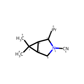 CC(C)C1C2C(CN1C#N)C2(C)C